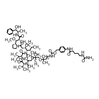 CC[C@H](C)[C@@H]([C@@H](CC(=O)N1CCC[C@H]1[C@H](OC)[C@@H](C)C(=O)N[C@H](C)[C@@H](O)c1ccccc1)OC)N(C)C(=O)[C@@H](NC(=O)[C@H](C(C)C)N(C)C(=O)COC(C)(C)COC(C)(C)CCNC(=O)OCc1ccc(NC(=O)CCCCNC(N)=O)cc1)C(C)C